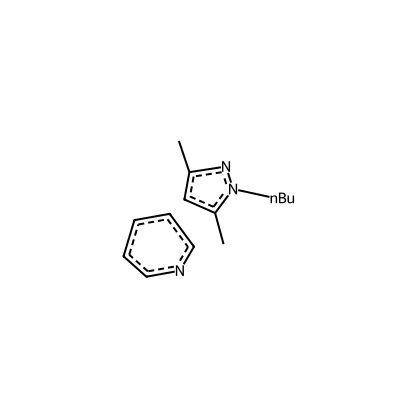 CCCCn1nc(C)cc1C.c1ccncc1